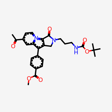 COC(=O)c1ccc(-c2c3c(n4ccc(C(C)=O)cc24)C(=O)N(CCCNC(=O)OC(C)(C)C)C3)cc1